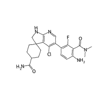 CN(C)C(=O)c1c(N)ccc(-c2cnc3c(c2Cl)C2(CCC(C(N)=O)CC2)CN3)c1F